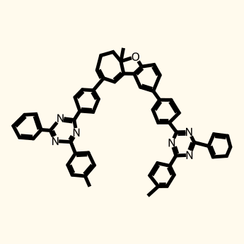 Cc1ccc(-c2nc(C3=CCCC=C3)nc(-c3ccc(-c4ccc5c(c4)C4=CC(c6ccc(-c7nc(-c8ccccc8)nc(-c8ccc(C)cc8)n7)cc6)=CCCC4(C)O5)cc3)n2)cc1